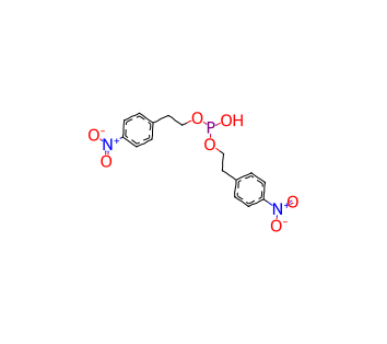 O=[N+]([O-])c1ccc(CCOP(O)OCCc2ccc([N+](=O)[O-])cc2)cc1